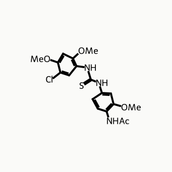 COc1cc(OC)c(NC(=S)Nc2ccc(NC(C)=O)c(OC)c2)cc1Cl